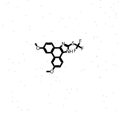 COc1ccc2c(c1)c1cc(OC)ccc1c1[nH]c(SC(F)(F)F)nc21